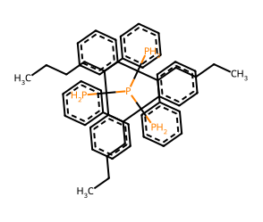 CCCCC(c1ccccc1)C(P)(c1ccccc1)P(C(P)(c1ccccc1)C(CCCC)c1ccccc1)C(P)(c1ccccc1)C(CCCC)c1ccccc1